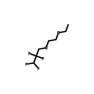 CCOCCOCC(F)(F)C(F)F